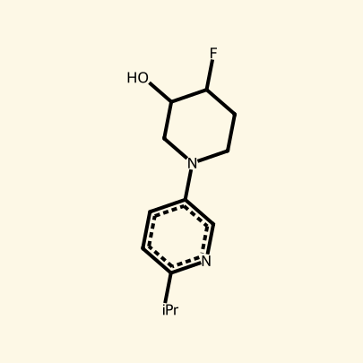 CC(C)c1ccc(N2CCC(F)C(O)C2)cn1